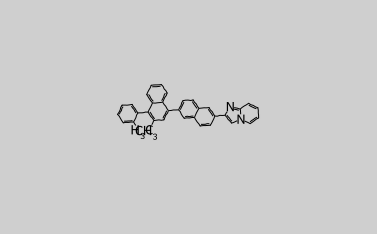 Cc1ccccc1-c1c(C)cc(-c2ccc3cc(-c4cn5ccccc5n4)ccc3c2)c2ccccc12